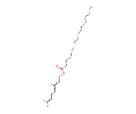 CCCCCCCCCCCCCCCC(=O)OC/C=C(\C)CCC=C(C)C